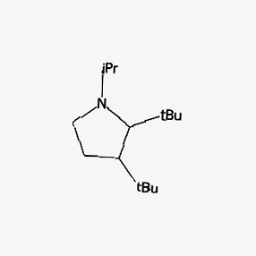 CC(C)N1CCC(C(C)(C)C)C1C(C)(C)C